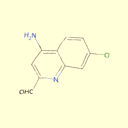 Nc1cc(C=O)nc2cc(Cl)ccc12